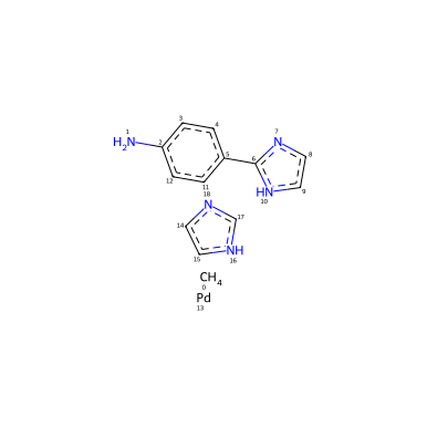 C.Nc1ccc(-c2ncc[nH]2)cc1.[Pd].c1c[nH]cn1